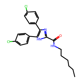 CCCCCCNC(=O)c1nc(-c2ccc(Cl)cc2)c(-c2ccc(Cl)cc2)[nH]1